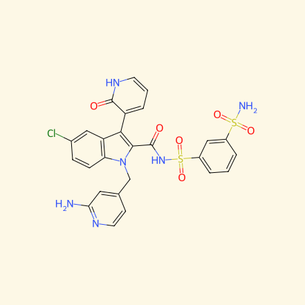 Nc1cc(Cn2c(C(=O)NS(=O)(=O)c3cccc(S(N)(=O)=O)c3)c(-c3ccc[nH]c3=O)c3cc(Cl)ccc32)ccn1